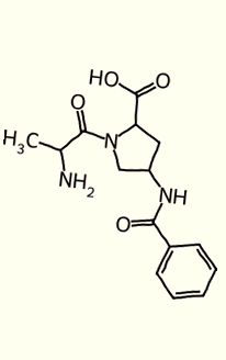 CC(N)C(=O)N1CC(NC(=O)c2ccccc2)CC1C(=O)O